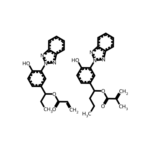 C=C(C)C(=O)OC(CCC)c1ccc(O)c(-n2nc3ccccc3n2)c1.C=CC(=O)OC(CC)c1ccc(O)c(-n2nc3ccccc3n2)c1